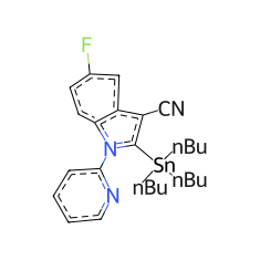 CCC[CH2][Sn]([CH2]CCC)([CH2]CCC)[c]1c(C#N)c2cc(F)ccc2n1-c1ccccn1